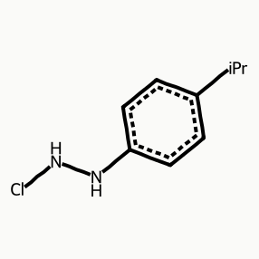 CC(C)c1ccc(NNCl)cc1